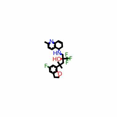 Cc1ccc2c(n1)C=CCC2NCC(O)(CC(C)(C)c1cc(F)cc2c1OCC2)C(F)(F)F